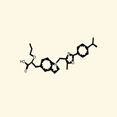 CCCOC(Cc1ccc2c(ccn2Cc2nc(-c3ccc(C(C)C)cc3)oc2C)c1)C(=O)O